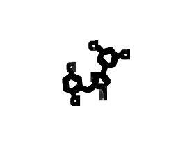 Clc1cc(Cl)cc(-c2c[nH]c(Cc3cc(Cl)ccc3Cl)n2)c1